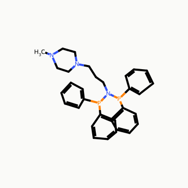 CN1CCN(CCCN(P(c2ccccc2)c2ccccc2)P(c2ccccc2)c2ccccc2)CC1